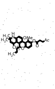 C=CCC1Oc2ccc(OC(=O)CCC(C)=O)c(OC)c2-c2ccc3c(c21)C(C)=CC(C)(C)N3